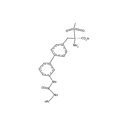 CCCNC(=O)Nc1cccc(-c2ccc(C[C@@](N)(C(=O)O)S(C)(=O)=O)cc2)c1